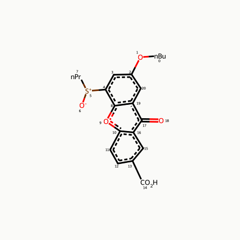 CCCCOc1cc([S+]([O-])CCC)c2oc3ccc(C(=O)O)cc3c(=O)c2c1